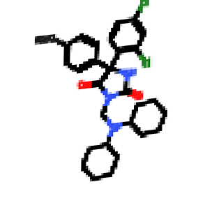 COc1ccc(C2(c3ccc(Cl)cc3Cl)NC(=O)N(CN(C3CCCCC3)C3CCCCC3)C2=O)cc1